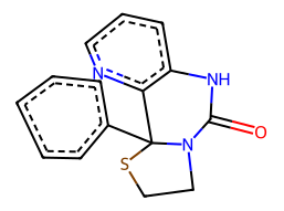 O=C1Nc2cccnc2C2(c3ccccc3)SCCN12